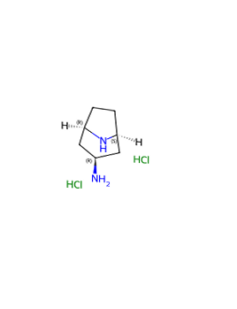 Cl.Cl.N[C@H]1C[C@H]2CC[C@@H](C1)N2